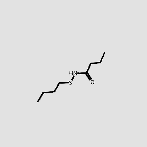 CCCCSNC(=O)CCC